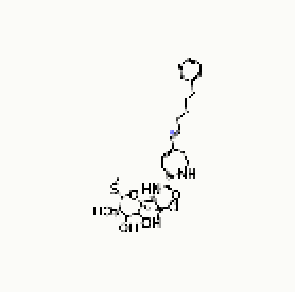 CSC1O[C@H]([C@H](NC(=O)[C@@H]2CC=C(/C=C/CCCCc3ccccc3)CCN2)[C@H](C)Cl)C(O)C(O)[C@H]1O